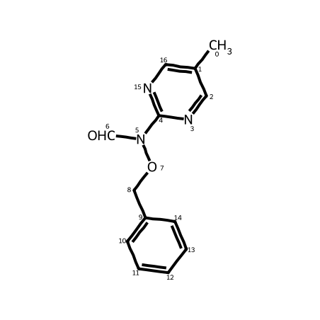 Cc1cnc(N(C=O)OCc2ccccc2)nc1